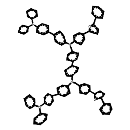 c1ccc(-c2ccc(-c3ccc(N(c4ccc(-c5ccc(N(c6ccccc6)c6ccccc6)cc5)cc4)c4ccc(-c5ccc(N(c6ccc(-c7ccc(N(c8ccccc8)c8ccccc8)cc7)cc6)c6ccc(-c7ccc(-c8ccccc8)o7)cc6)cc5)cc4)cc3)o2)cc1